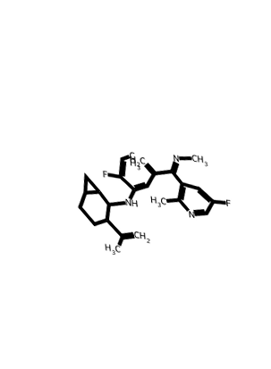 C=C(/C=C(NC1C(C(=C)C)CCC2CC21)\C(F)=C/C)/C(=N/C)c1cc(F)cnc1C